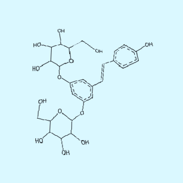 OCC1OC(Oc2cc(/C=C/c3ccc(O)cc3)cc(OC3OC(CO)C(O)C(O)C3O)c2)C(O)C(O)C1O